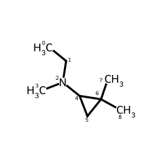 CCN(C)C1CC1(C)C